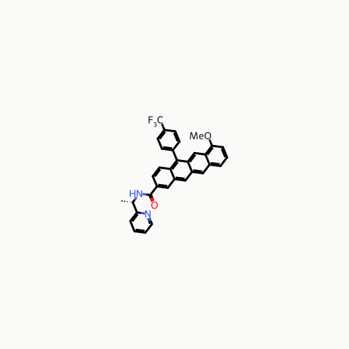 COc1cccc2cc3cc4cc(C(=O)N[C@@H](C)c5ccccn5)ccc4c(-c4ccc(C(F)(F)F)cc4)c3cc12